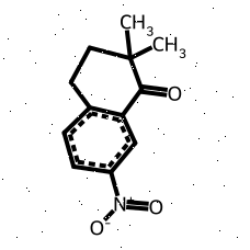 CC1(C)CCc2ccc([N+](=O)[O-])cc2C1=O